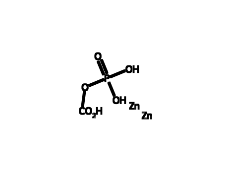 O=C(O)OP(=O)(O)O.[Zn].[Zn]